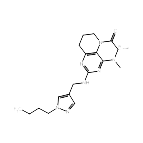 C[C@H]1C(=O)N2CCCc3nc(NCc4cnn(CCCC(F)(F)F)c4)nc(c32)N1C